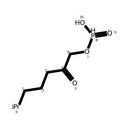 CC(C)CCCC(=O)CO[PH](=O)O